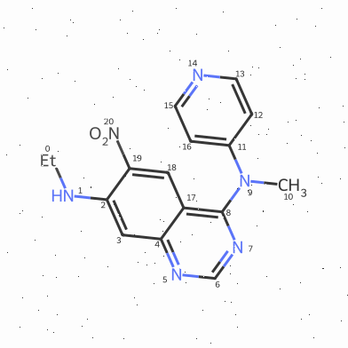 CCNc1cc2ncnc(N(C)c3ccncc3)c2cc1[N+](=O)[O-]